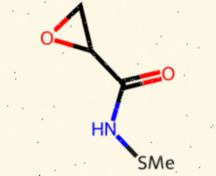 CSNC(=O)C1CO1